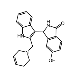 O=C1NC(c2c(CN3CC=CCC3)[nH]c3ccccc23)c2cc(O)ccc21